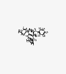 Cl.Fc1ccc(-c2nc(Cc3ccccc3)nc3c2CCNC3)cc1